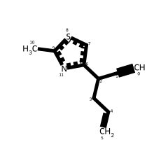 C#C[C](CC=C)c1csc(C)n1